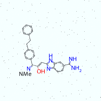 CN/N=C(\C(O)=C\c1nc2ccc(C(=N)N)cc2[nH]1)c1ccc(CCc2ccccc2)cc1